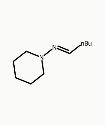 CCCC/C=N/N1CCCCC1